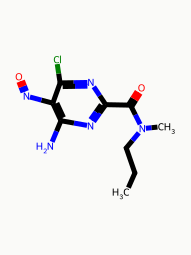 CCCN(C)C(=O)c1nc(N)c(N=O)c(Cl)n1